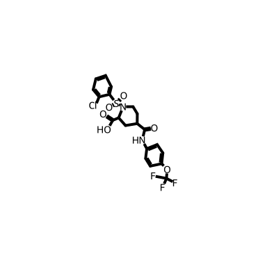 O=C(Nc1ccc(OC(F)(F)F)cc1)C1CCN(S(=O)(=O)c2ccccc2Cl)C(C(=O)O)C1